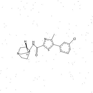 Cc1nc(C(=O)N[C@H]2CN3CCC2CC3)sc1-c1cccc(Cl)c1